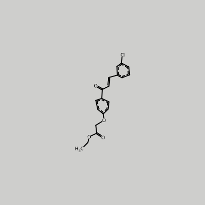 CCOC(=O)COc1ccc(C(=O)C=Cc2cccc(Cl)c2)cc1